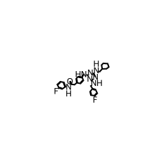 O=C(Cc1ccc(Nc2nc(NCc3ccc(F)cc3)nc(NCC3CCCCC3)n2)cc1)Nc1cccc(F)c1